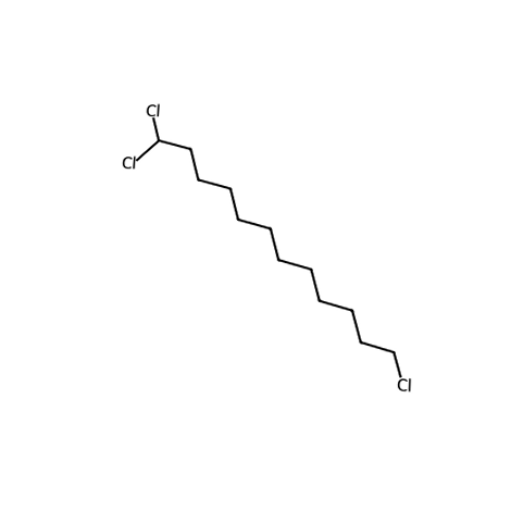 ClCCCCCCCCCCCC(Cl)Cl